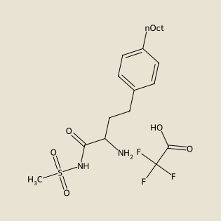 CCCCCCCCc1ccc(CCC(N)C(=O)NS(C)(=O)=O)cc1.O=C(O)C(F)(F)F